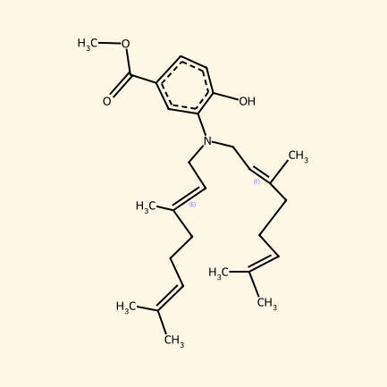 COC(=O)c1ccc(O)c(N(C/C=C(\C)CCC=C(C)C)C/C=C(\C)CCC=C(C)C)c1